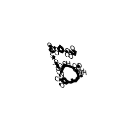 COc1cc2cc(c1Cl)N(C)C(=O)C[C@H](OC(=O)[C@H](C)OCCSC1CC(=O)N(C[C@H]3CC[C@H](C(=O)ON4C(=O)CCC4=O)CC3)C1=O)[C@]1(C)O[C@H]1[C@H](C)C1C[C@@](O)(NC(=O)O1)[C@H](OC)/C=C/C=C(\C)C2